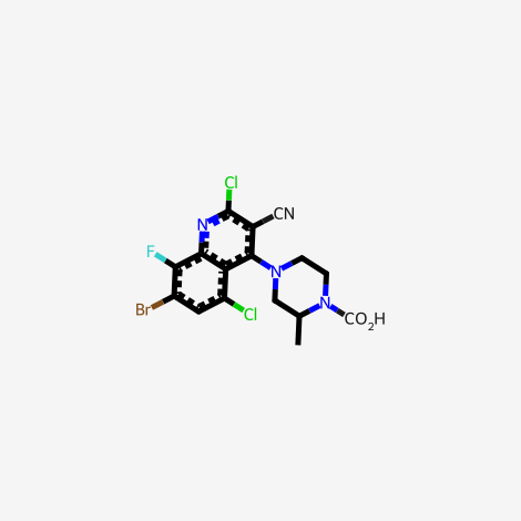 CC1CN(c2c(C#N)c(Cl)nc3c(F)c(Br)cc(Cl)c23)CCN1C(=O)O